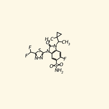 CC(n1c(=O)n(-c2nnc(C(F)F)s2)c2cc(S(N)(=O)=O)c(F)cc21)C1(C)CC1